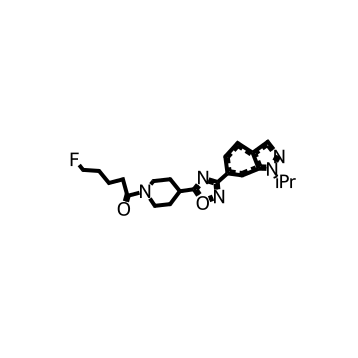 CC(C)n1ncc2ccc(-c3noc(C4CCN(C(=O)CCCCF)CC4)n3)cc21